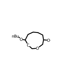 [CH2]CCCOC1CCCCC([O])COCC1